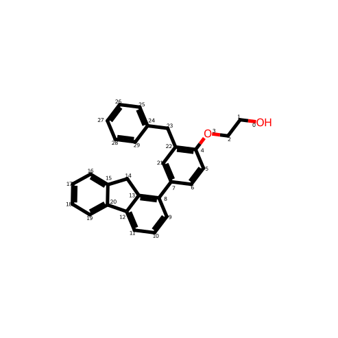 OCCOc1ccc(-c2cccc3c2Cc2ccccc2-3)cc1Cc1ccccc1